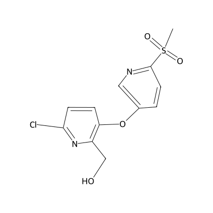 CS(=O)(=O)c1ccc(Oc2ccc(Cl)nc2CO)cn1